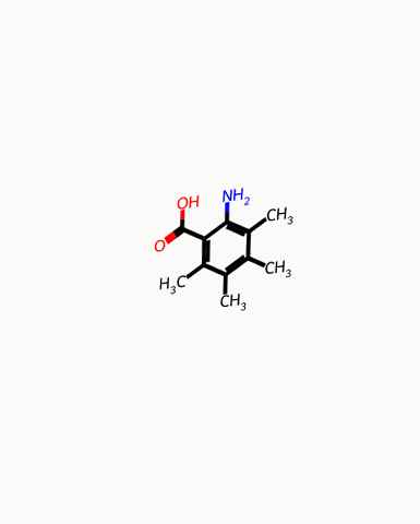 Cc1c(C)c(C)c(C(=O)O)c(N)c1C